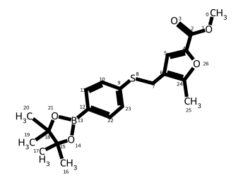 COC(=O)c1cc(CSc2ccc(B3OC(C)(C)C(C)(C)O3)cc2)c(C)o1